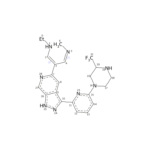 CCN/C=C(\C=N/C)c1cc2c(-c3cccc(N4CCNC(C(F)(F)F)C4)n3)n[nH]c2cn1